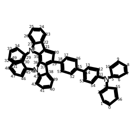 c1ccc(N(c2ccccc2)c2ccc(-c3ccc(-c4cc5c6ccccc6n(-c6ccccc6)c5c5c4c4ccccc4n5-c4ccccc4)cc3)cc2)cc1